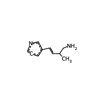 CC(C=Cc1cccnc1)CN